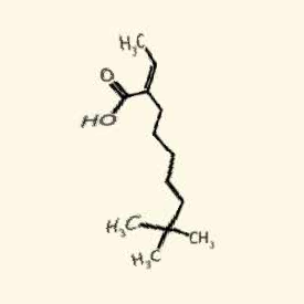 CC=C(CCCCCC(C)(C)C)C(=O)O